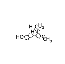 COc1ccc(C2CCc3cc(O)ccc3C2)c(NC(C)C)c1